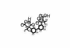 CC1(C)C(C(=O)O)C1(C(=O)O)c1cccc(-c2cccc(C3(C(=O)O)C(C(=O)O)C3(C)C)c2)c1